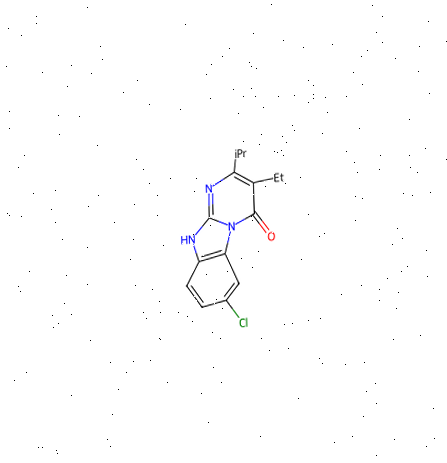 CCc1c(C(C)C)nc2[nH]c3ccc(Cl)cc3n2c1=O